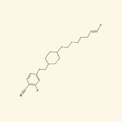 N#Cc1ccc(CCC2CCC(CCCCCCC=CF)CC2)cc1F